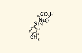 Cc1ccc(SC2CC(=O)N2CC(=O)O)cc1